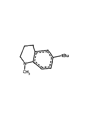 CN1CCCc2cc(C(C)(C)C)ccc21